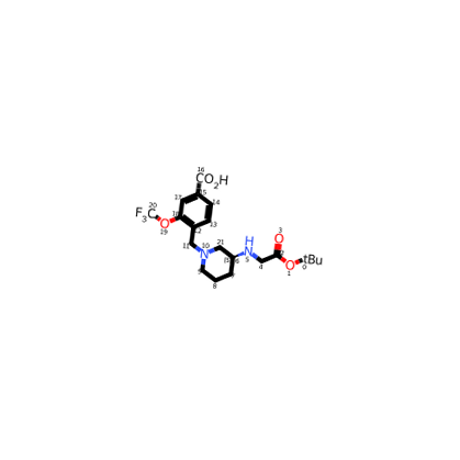 CC(C)(C)OC(=O)CN[C@H]1CCCN(Cc2ccc(C(=O)O)cc2OC(F)(F)F)C1